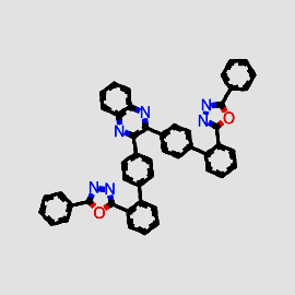 c1ccc(-c2nnc(-c3ccccc3-c3ccc(-c4nc5ccccc5nc4-c4ccc(-c5ccccc5-c5nnc(-c6ccccc6)o5)cc4)cc3)o2)cc1